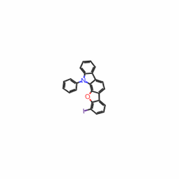 Ic1cccc2c1oc1c2ccc2c3ccccc3n(-c3ccccc3)c21